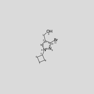 OCc1cn(C2CCC2)nc1Br